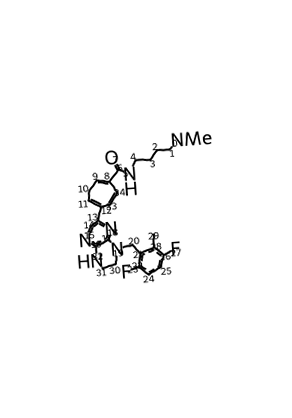 CNCCCCNC(=O)C1=CCC=C(c2cnc3c(n2)N(Cc2c(F)ccc(F)c2C)CCN3)C=C1